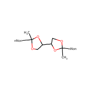 CCCCCCCCCC1(C)OCC(C2COC(C)(CCCCCCCCC)O2)O1